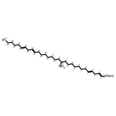 CCCCCC=CCC=CCCCCCCCC(N)CCCCCCCC=CCC=CCCCCC(C)C